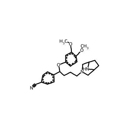 COc1ccc(OC(CCCN2CC3CCC(C2)N3)c2ccc(C#N)cc2)cc1OC